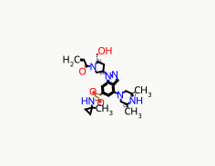 C=CC(=O)N1C[C@H](n2ncc3c(N4C[C@H](C)N[C@@H](C)C4)cc(S(=O)(=O)NC4(C)CC4)cc32)C[C@H]1CO